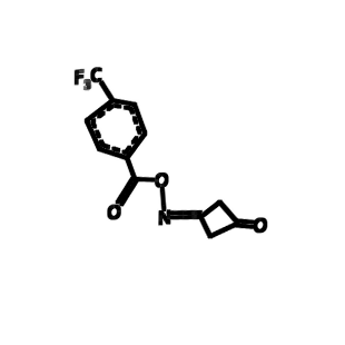 O=C1CC(=NOC(=O)c2ccc(C(F)(F)F)cc2)C1